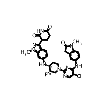 CN1C(=O)Cc2cc(Nc3nc(N4CC[C@H](Nc5ccc6c(C7CCC(=O)NC7=O)nn(C)c6c5)[C@@H](F)C4)ncc3Cl)ccc21